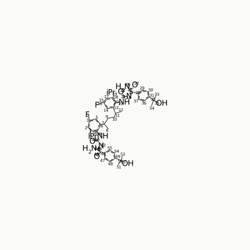 CC(C)c1cc(F)cc(C(C)CCC(C)c2cc(F)cc(C(C)C)c2NC(=O)N=[S@@](N)(=O)c2ccc(C(C)(C)O)cc2)c1NC(=O)N=S(N)(=O)c1ccc(C(C)(C)O)cc1